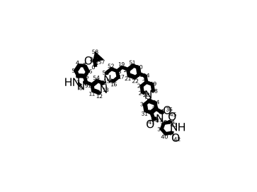 CC1(Oc2ccc3[nH]nc(-c4ccnc(N5CCC(Cc6ccc(CC7CCN(c8ccc9c(c8)C(=O)N(C8CCC(=O)NC8=O)C9=O)CC7)cc6)CC5)c4)c3c2)CC1